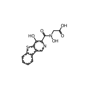 O=C(O)CN(O)C(=O)c1ncc2c(sc3ccccc32)c1O